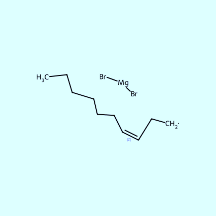 [Br][Mg][Br].[CH2]C/C=C\CCCCCC